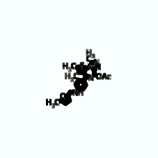 CC(=O)O[C@@H]1N=C(c2ccc(NCc3ccc(C)o3)cc2)c2c(sc(C)c2C)-n2c(C)nnc21